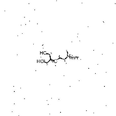 CCCN(C)CCOC(CO)CO